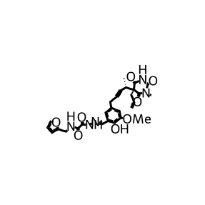 C=CC[C@@]1([C@@H](C)C#CCc2cc(/C=N/NC(=O)C(=O)NCc3ccco3)c(O)c(OC)c2)C(=O)NC(=O)N(C)C1=O